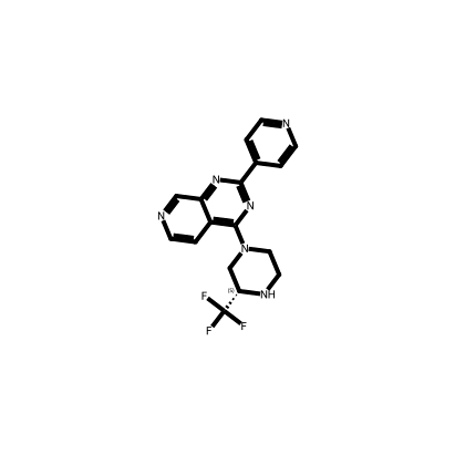 FC(F)(F)[C@@H]1CN(c2nc(-c3ccncc3)nc3cnccc23)CCN1